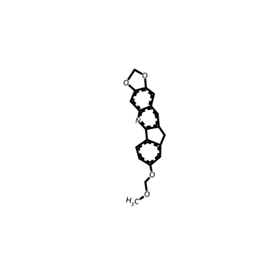 COCOc1ccc2c(c1)Cc1cc3cc4c(cc3nc1-2)OCO4